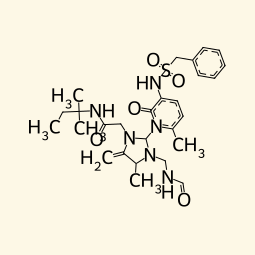 C=C1C(C)N(CNC=O)C(n2c(C)ccc(NS(=O)(=O)Cc3ccccc3)c2=O)N1CC(=O)NC(C)(C)CC